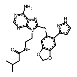 CC(C)CC(=O)NCCn1c(Sc2cc3c(cc2-c2cc[nH]n2)OCO3)nc2c(N)ncnc21